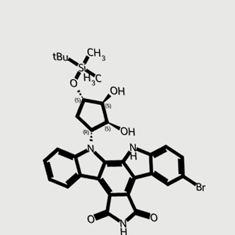 CC(C)(C)[Si](C)(C)O[C@H]1C[C@@H](n2c3ccccc3c3c4c(c5c6cc(Br)ccc6[nH]c5c32)C(=O)NC4=O)[C@H](O)[C@@H]1O